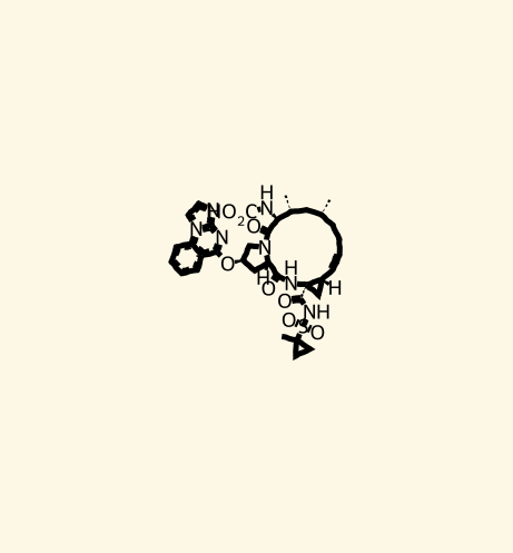 C[C@@H]1CCC=C[C@@H]2C[C@@]2(C(=O)NS(=O)(=O)C2(C)CC2)NC(=O)[C@@H]2C[C@@H](Oc3nc4nccn4c4ccccc34)CN2C(=O)[C@@H](NC(=O)O)[C@H](C)C1